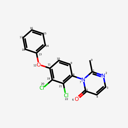 Cc1nccc(=O)n1-c1ccc(Oc2ccccc2)c(Cl)c1Cl